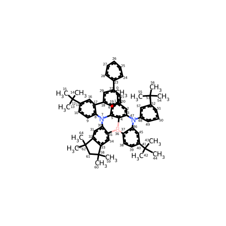 Cc1cc2c3c(c1)N(c1ccc(C(C)(C)C)cc1-c1cccc(-c4ccccc4)c1)c1cc4c(cc1B3c1ccc(C(C)(C)C)cc1N2c1cccc(C(C)(C)C)c1)C(C)(C)CC4(C)C